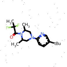 CC1CN(c2ccc(C(C)(C)C)cn2)CC(C)N1C(=O)C(C)(F)F